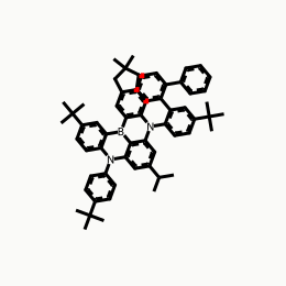 CC(C)c1cc2c3c(c1)N(c1ccc(C(C)(C)C)cc1-c1ccccc1-c1ccccc1)c1cc4c(cc1B3c1cc(C(C)(C)C)ccc1N2c1ccc(C(C)(C)C)cc1)CC(C)(C)C4